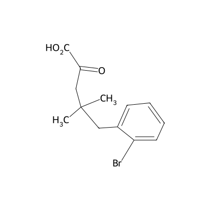 CC(C)(CC(=O)C(=O)O)Cc1ccccc1Br